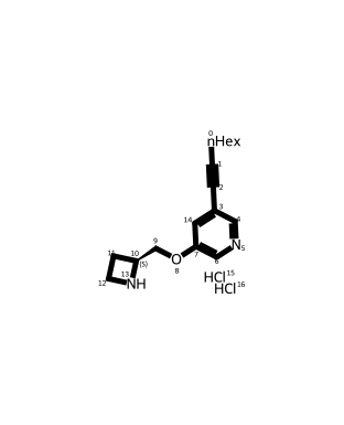 CCCCCCC#Cc1cncc(OC[C@@H]2CCN2)c1.Cl.Cl